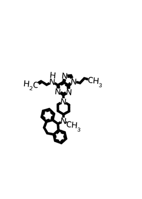 C=CCNc1nc(N2CCC(N(C)C3c4ccccc4CCc4ccccc43)CC2)nc2c1ncn2CCC